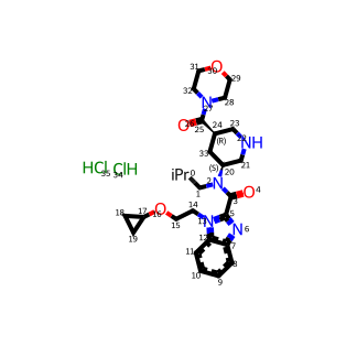 CC(C)CN(C(=O)c1nc2ccccc2n1CCOC1CC1)[C@@H]1CNC[C@H](C(=O)N2CCOCC2)C1.Cl.Cl